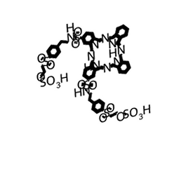 O=S(=O)(O)OCCS(=O)(=O)c1ccc(CCNS(=O)(=O)c2ccc3c(c2)-c2nc-3nc3[nH]c(nc4nc(nc5[nH]c(n2)c2ccc(S(=O)(=O)NCCc6ccc(S(=O)(=O)CCOS(=O)(=O)O)cc6)cc52)-c2ccccc2-4)c2ccccc32)cc1